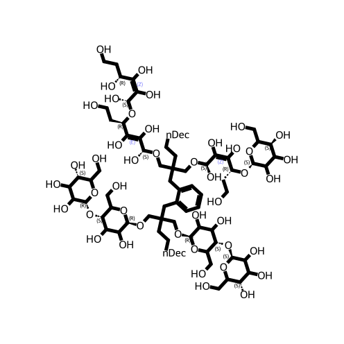 CCCCCCCCCCCCC(CO[C@@H]1OC(CO)[C@@H](O[C@H]2OC(CO)[C@@H](O)C(O)C2O)C(O)C1O)(CO[C@@H]1OC(CO)[C@@H](O[C@@H]2OC(CO)[C@@H](O)C(O)C2O)C(O)C1O)Cc1ccccc1CC(CCCCCCCCCCCC)(CO[C@H](O)/C(O)=C(/O)[C@@H](CCO)O[C@@H]1OC(CO)[C@@H](O)C(O)C1O)CO[C@H](O)/C(O)=C(\O)[C@@H](CCO)O[C@H](O)/C(O)=C(/O)[C@H](O)CCO